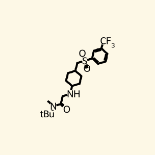 CN(C(=O)CNC1CCC(CS(=O)(=O)c2cccc(C(F)(F)F)c2)CC1)C(C)(C)C